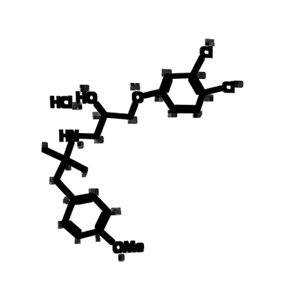 COc1ccc(CC(C)(C)NCC(O)COc2ccc(Cl)c(Cl)c2)cc1.Cl